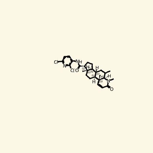 CC1C[C@@H]2[C@H](CC[C@]3(C)[C@@H](C(=O)Nc4ccc(Cl)nc4Cl)CC[C@@H]23)[C@@]2(C)C=CC(=O)N(C)[C@H]12